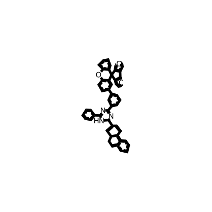 C1=CC2=c3ccccc3=CCC2C=C1C1N=C(c2cccc(-c3ccc4c(c3)C3(c5ccccc5O4)c4ccccc4-c4ccccc43)c2)N=C(c2ccccc2)N1